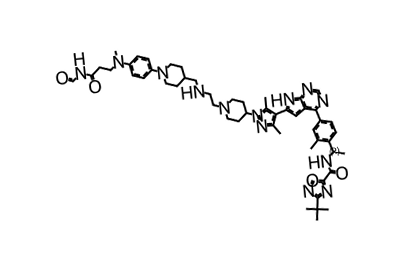 Cc1cc(-c2ncnc3[nH]c(-c4c(C)nn(C5CCN(CCNCC6CCN(c7ccc(N(C)CCC(=O)NC=O)cc7)CC6)CC5)c4C)cc23)ccc1[C@@H](C)NC(=O)c1nc(C(C)(C)C)no1